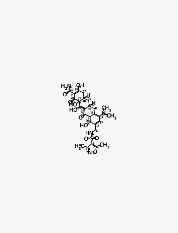 Cc1noc(C)c1S(=O)(=O)NCc1cc(N(C)C)c2c(c1O)C(=O)C1=C(O)[C@]3(O)C(=O)C(C(N)=O)=C(O)C[C@@H]3C[C@@H]1C2